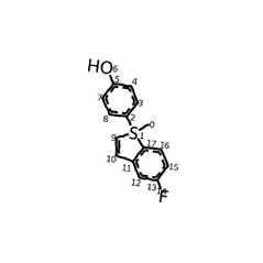 CS1(c2ccc(O)cc2)C=Cc2cc(F)ccc21